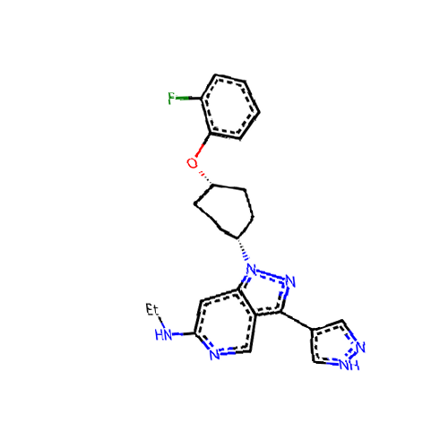 CCNc1cc2c(cn1)c(-c1cn[nH]c1)nn2[C@H]1CC[C@@H](Oc2ccccc2F)CC1